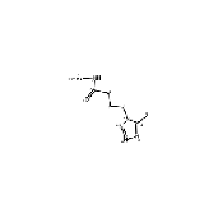 CCCCCCNC(=O)CCCn1nnnc1C